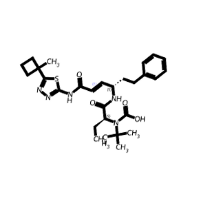 CC[C@@H](C(=O)N[C@H](/C=C/C(=O)Nc1nnc(C2(C)CCC2)s1)CCc1ccccc1)N(C(=O)O)C(C)(C)C